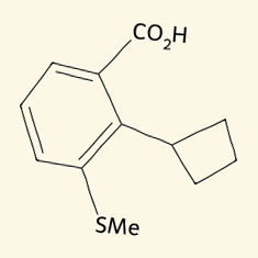 CSc1cccc(C(=O)O)c1C1CCC1